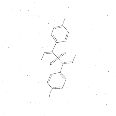 C/C=C(/c1ccc(C)cc1)S(=O)(=O)/C(=C\C)c1ccc(C)cc1